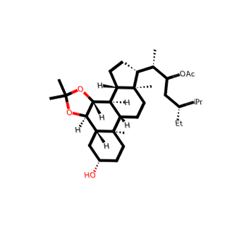 CC[C@H](CC(OC(C)=O)[C@@H](C)[C@H]1CC[C@H]2[C@@H]3[C@H]4OC(C)(C)O[C@@H]4[C@H]4C[C@@H](O)CC[C@]4(C)[C@H]3CC[C@]12C)C(C)C